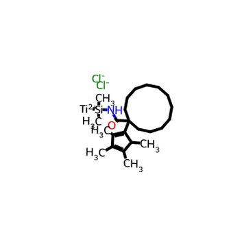 CC1=C(C)C(C)C(C2(C(=O)N[Si](C)(C)[Ti+2])CCCCCCCCCCC2)=C1C.[Cl-].[Cl-]